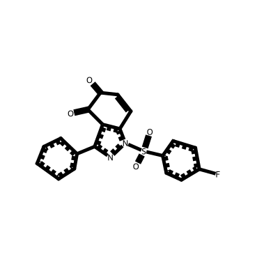 O=C1C=Cc2c(c(-c3ccccc3)nn2S(=O)(=O)c2ccc(F)cc2)C1=O